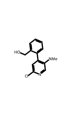 CNc1cnc(Cl)cc1-c1ccccc1CO